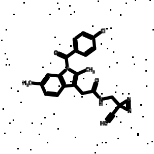 C#CC1(CNC(=O)Cc2c(C)n(C(=O)c3ccc(Cl)cc3)c3cc(C)ccc23)N=N1